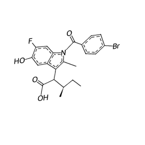 CC[C@@H](C)C(C(=O)O)c1c(C)n(C(=O)c2ccc(Br)cc2)c2cc(F)c(O)cc12